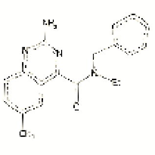 CCN(Cc1ccccc1)C(=O)c1nc(N)nc2ccc(C)cc12